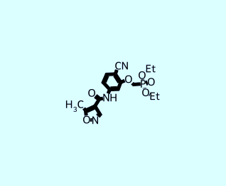 CCOP(=O)(COc1cc(NC(=O)c2cnoc2C)ccc1C#N)OCC